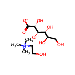 C[N+](C)(C)CCO.O=C([O-])[C@H](O)[C@@H](O)[C@H](O)[C@H](O)CO